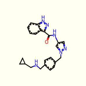 O=C(Nc1cnn(Cc2ccc(CNCC3CC3)cc2)c1)c1n[nH]c2ccccc12